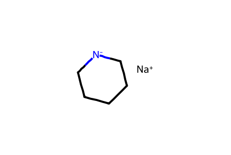 C1CC[N-]CC1.[Na+]